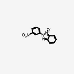 O=[N+]([O-])c1cccc(-n2nc3ccccc3[n+]2[O-])c1